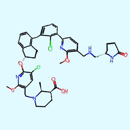 COc1nc(-c2cccc(-c3cccc4c3CC[C@@H]4Oc3nc(OC)c(CN4CCC[C@H](C(=O)O)[C@@H]4C)cc3Cl)c2Cl)ccc1CNC[C@@H]1CCC(=O)N1